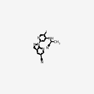 CC(C#N)Nc1cc(-n2ncc3cc(C#N)cnc32)ncc1I